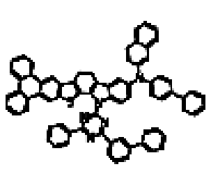 c1ccc(-c2ccc(N(c3ccc4ccccc4c3)c3ccc4c(c3)c3ccc5c6cc7c8ccccc8c8ccccc8c7cc6sc5c3n4-c3nc(-c4ccccc4)nc(-c4cccc(-c5ccccc5)c4)n3)cc2)cc1